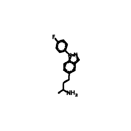 CC(N)CCc1ccc2c(cnn2-c2ccc(F)cc2)c1